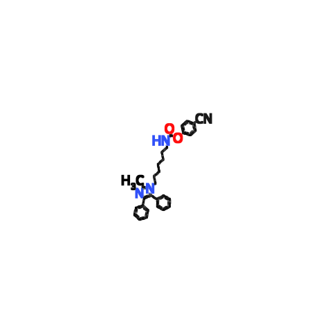 Cc1nc(-c2ccccc2)c(-c2ccccc2)n1CCCCCCCNC(=O)Oc1ccc(C#N)cc1